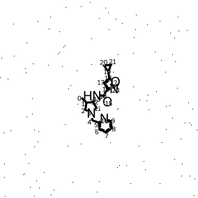 CC1CN(Cc2ccccn2)CC1NC(=O)c1cc(C2CC2)on1